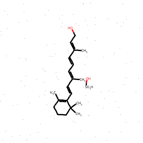 CC1=C(/C=C/C(C)=C/C=C/C(C)=C/CO)C(C)(C)CCC1.O=S(=O)(O)O